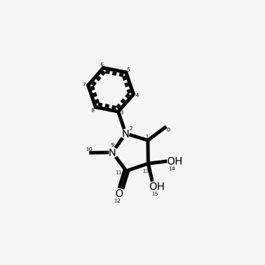 CC1N(c2ccccc2)N(C)C(=O)C1(O)O